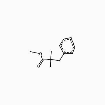 COC(=O)C(C)(C)Cc1ccccc1